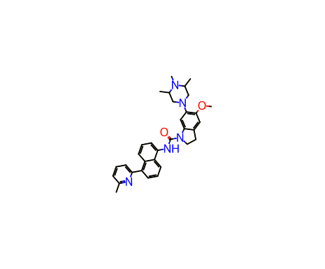 COc1cc2c(cc1N1CC(C)N(C)C(C)C1)N(C(=O)Nc1cccc3c(-c4cccc(C)n4)cccc13)CC2